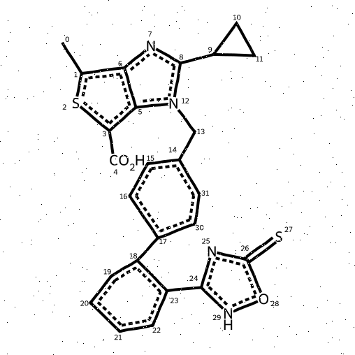 Cc1sc(C(=O)O)c2c1nc(C1CC1)n2Cc1ccc(-c2ccccc2-c2nc(=S)o[nH]2)cc1